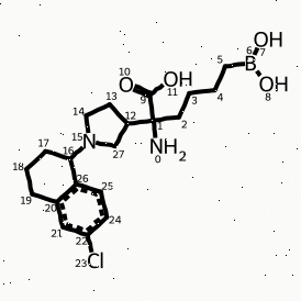 NC(CCCCB(O)O)(C(=O)O)C1CCN(C2CCCc3cc(Cl)ccc32)C1